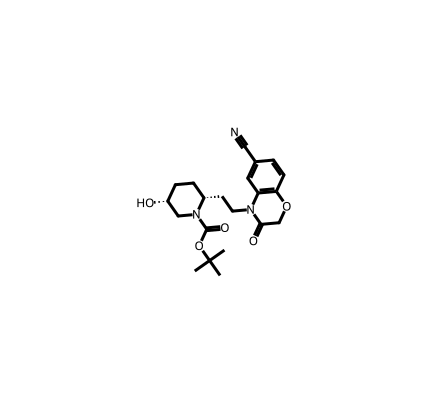 CC(C)(C)OC(=O)N1C[C@H](O)CC[C@@H]1CCN1C(=O)COc2ccc(C#N)cc21